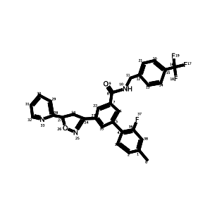 Cc1ccc(-c2cc(C(=O)NCc3ccc(C(F)(F)F)cc3)cc(C3=NOC(c4ccccn4)C3)c2)c(F)c1